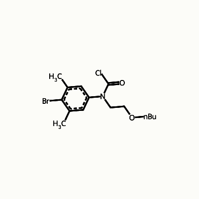 CCCCOCCN(C(=O)Cl)c1cc(C)c(Br)c(C)c1